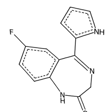 O=C1CN=C(c2ccc[nH]2)c2cc(F)ccc2N1